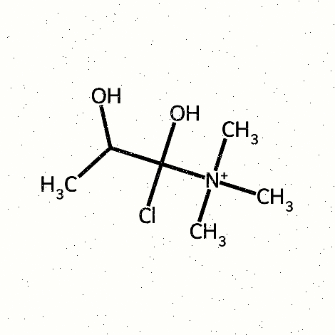 CC(O)C(O)(Cl)[N+](C)(C)C